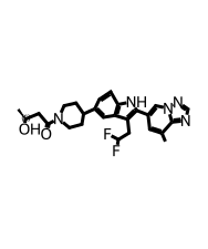 Cc1cc(-c2[nH]c3ccc(C4CCN(C(=O)C[C@H](C)O)CC4)cc3c2CC(F)F)cn2ncnc12